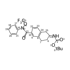 CC(C)(C)OC(=O)NC1CCc2cc(C(=O)N(OC(F)(F)F)c3ccccc3)ccc2C1